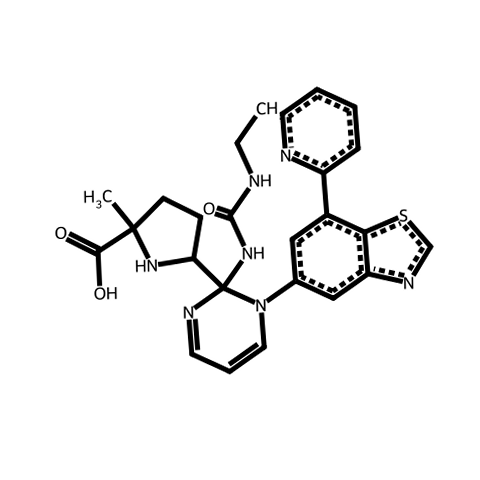 CCNC(=O)NC1(C2CCC(C)(C(=O)O)N2)N=CC=CN1c1cc(-c2ccccn2)c2scnc2c1